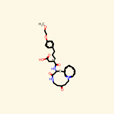 COCCOc1ccc(CCC[C@H](CC(=O)O)C(=O)NC2Cc3ccccccn(c3)CCC(=O)CCNC2=O)cc1